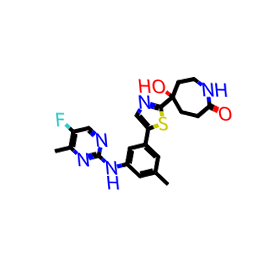 Cc1cc(Nc2ncc(F)c(C)n2)cc(-c2cnc(C3(O)CCNC(=O)CC3)s2)c1